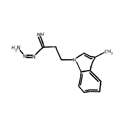 Cc1cn(CCC(=N)/N=N\N)c2ccccc12